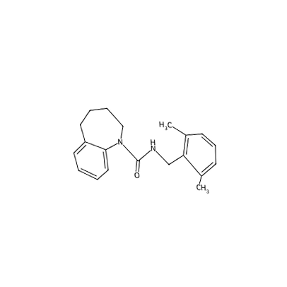 Cc1cccc(C)c1CNC(=O)N1CCCCc2ccccc21